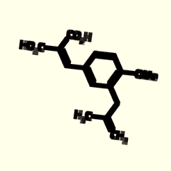 C=C(C)Cc1cc(C=C(C(=O)O)C(=O)O)ccc1OC